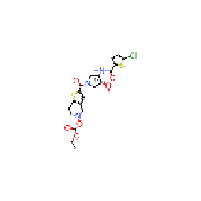 CCOC(=O)ON1CCc2sc(C(=O)N3C[C@H](NC(=O)c4ccc(Cl)s4)[C@@H](OC)C3)cc2C1